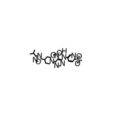 CC(C)c1noc(C2CCN(c3ncnc(Nc4ccc(S(C)(=O)=O)nc4)c3[N+](=O)[O-])CC2)n1